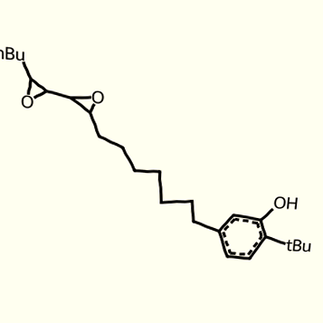 CCCCC1OC1C1OC1CCCCCCCc1ccc(C(C)(C)C)c(O)c1